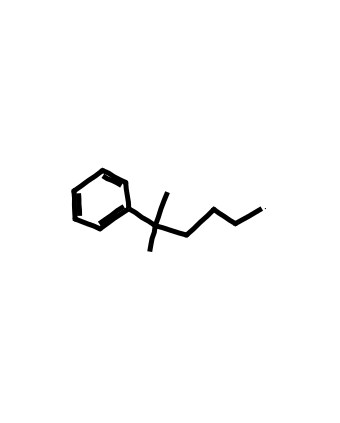 [CH2]CCCC(C)(C)c1ccccc1